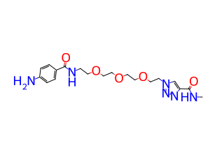 CNC(=O)c1cn(CCOCCOCCOCCNC(=O)c2ccc(N)cc2)nn1